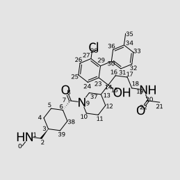 CNC[C@H]1CC[C@H](C(=O)N2CCCC(C(O)(CCCNC(C)=O)c3cccc(Cl)c3-c3cccc(C)c3)C2)CC1